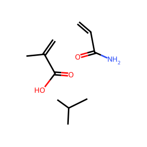 C=C(C)C(=O)O.C=CC(N)=O.CC(C)C